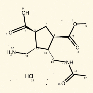 COC(=O)[C@@H]1C[C@H](C(=O)O)[C@@H](CN)[C@H]1CNC(C)=O.Cl